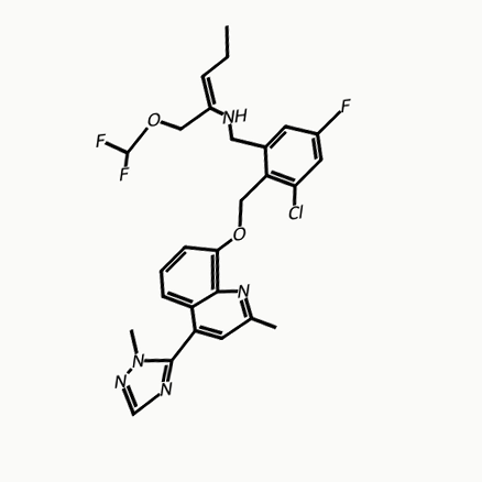 CC/C=C(/COC(F)F)NCc1cc(F)cc(Cl)c1COc1cccc2c(-c3ncnn3C)cc(C)nc12